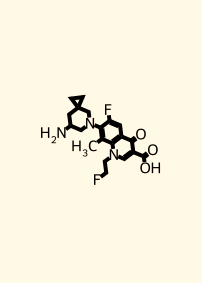 Cc1c(N2CC(N)CC3(CC3)C2)c(F)cc2c(=O)c(C(=O)O)cn(CCF)c12